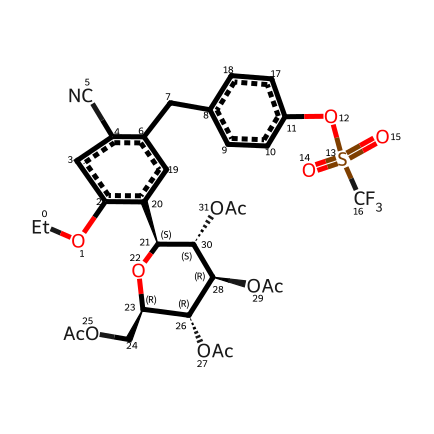 CCOc1cc(C#N)c(Cc2ccc(OS(=O)(=O)C(F)(F)F)cc2)cc1[C@@H]1O[C@H](COC(C)=O)[C@@H](OC(C)=O)[C@H](OC(C)=O)[C@H]1OC(C)=O